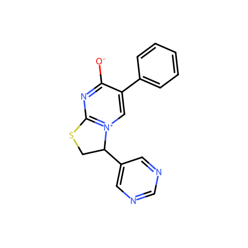 [O-]c1nc2[n+](cc1-c1ccccc1)C(c1cncnc1)CS2